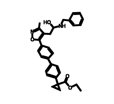 CCOC(=O)C1(c2ccc(-c3ccc(-c4onc(C)c4CC(O)NCc4ccccc4)cc3)cc2)CC1